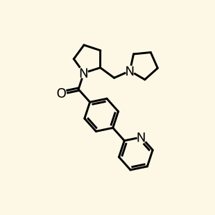 O=C(c1ccc(-c2ccccn2)cc1)N1CCCC1CN1CCCC1